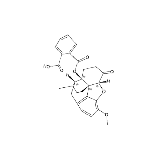 COc1ccc2c3c1O[C@H]1C(=O)CC[C@@]4(OC(=O)c5ccccc5C(=O)O)[C@@H](C2)C(C)CC[C@]314